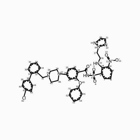 O=C(NS(=O)(=O)c1cccc([N+](=O)[O-])c1NCCn1nccn1)c1ccc(N2CCN(Cc3ccccc3-c3ccc(Cl)cc3)CC2)cc1Oc1ccccc1